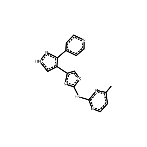 Cc1ccnc(Nc2nc(-c3c[nH]nc3-c3ccncc3)cs2)n1